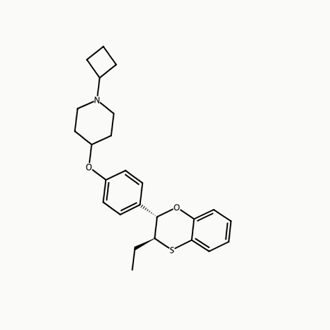 CC[C@@H]1Sc2ccccc2O[C@H]1c1ccc(OC2CCN(C3CCC3)CC2)cc1